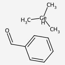 O=Cc1ccccc1.[CH3][GeH]([CH3])[CH3]